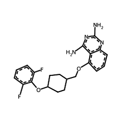 Nc1nc(N)c2c(OCC3CCC(Oc4c(F)cccc4F)CC3)cccc2n1